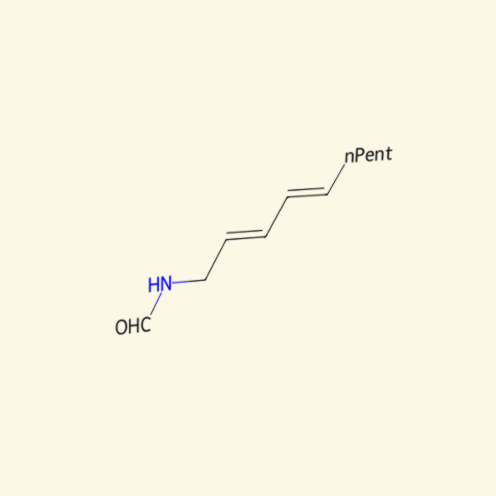 CCCCC/C=C/C=C/CNC=O